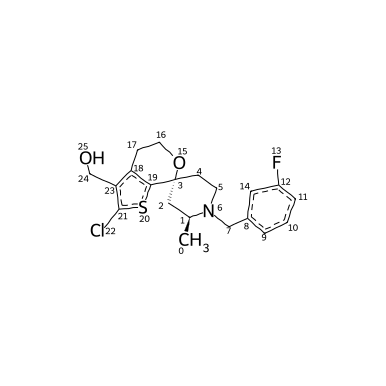 C[C@H]1C[C@@]2(CCN1Cc1cccc(F)c1)OCCc1c2sc(Cl)c1CO